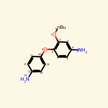 CCCCOc1cc(N)ccc1Oc1ccc(N)cc1